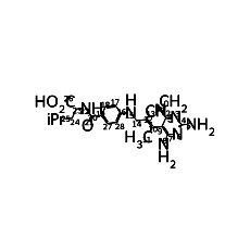 C=Nc1nc(N)nc(N)c1/C(C)=C(\C)CNc1ccc(C(=O)NC(CC(C)C)C(=O)O)cc1